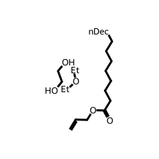 C=CCOC(=O)CCCCCCCCCCCCCCCCC.CCOCC.OCCO